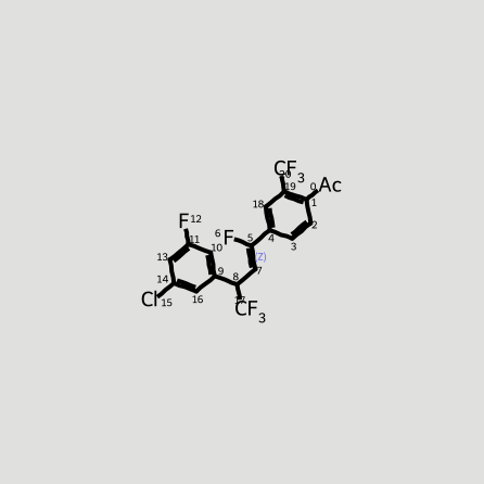 CC(=O)c1ccc(/C(F)=C/C(c2cc(F)cc(Cl)c2)C(F)(F)F)cc1C(F)(F)F